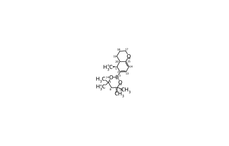 C[C@@H]1C(B2OC(C)(C)CC(C)(C)O2)=CC=C2OCCCC21